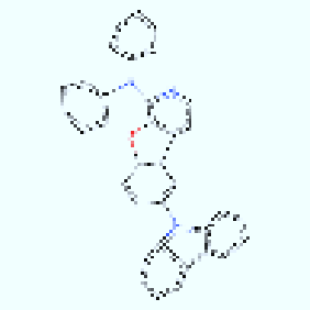 C1=CC2Oc3c(ccnc3N(c3ccccc3)c3ccccc3)C2C=C1n1c2ccccc2c2ccccc21